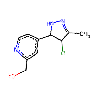 CC1=NNC(c2ccnc(CO)c2)C1Cl